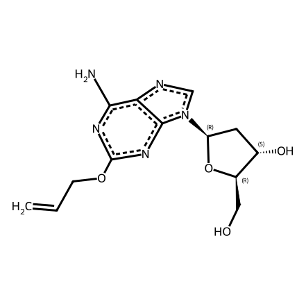 C=CCOc1nc(N)c2ncn([C@H]3C[C@H](O)[C@@H](CO)O3)c2n1